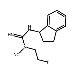 N#CN(CCF)C(=N)NC1CCc2ccccc21